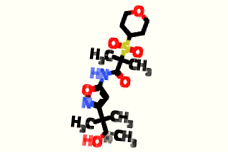 C[C@H](O)C(C)(C)c1cc(NC(=O)C(C)(C)S(=O)(=O)C2CCOCC2)on1